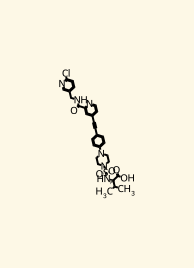 CC(C)[C@@H](NS(=O)(=O)N1CCN(c2ccc(C#Cc3ccnc(C(=O)NCc4ccc(Cl)nc4)c3)cc2)CC1)C(=O)O